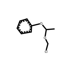 CC(OCCl)Oc1ccccc1